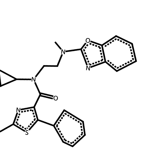 Cc1nc(C(=O)N(CCN(C)c2nc3ccccc3o2)C2CC2)c(-c2ccccc2)s1